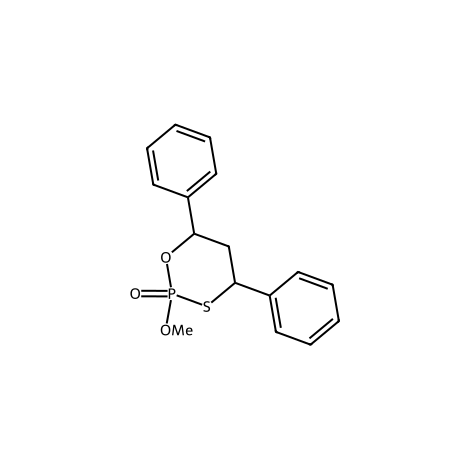 COP1(=O)OC(c2ccccc2)CC(c2ccccc2)S1